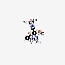 CC1CN(c2cc(F)c(-c3cnc(N4C[C@@H](C)O[C@H](C)C4)nc3)c(F)c2NC(=O)c2ccc(F)cc2C(F)(F)F)CCN1C.O=CO